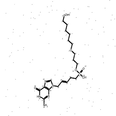 CCCCCCCCCCCCCCCCOCCCOP(=O)(O)CCC=CCn1cnc2c(=O)[nH]c(N)nc21